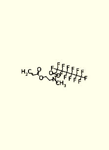 C=CC(=O)OCCN(C)S(=O)(=O)C(F)(F)C(F)(F)C(F)(F)C(F)(F)C(F)(F)C(F)(F)F